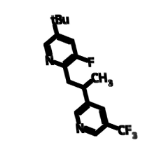 CC(Cc1ncc(C(C)(C)C)cc1F)c1cncc(C(F)(F)F)c1